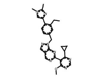 CCc1cc(Cn2ncc3cnc(-c4c(OC)ncnc4C4CC4)nc32)ccc1-c1cn(C)c(C)n1